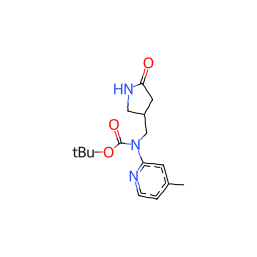 Cc1ccnc(N(CC2CNC(=O)C2)C(=O)OC(C)(C)C)c1